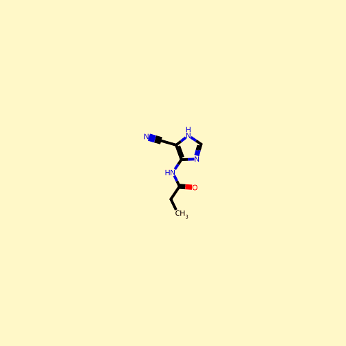 CCC(=O)Nc1nc[nH]c1C#N